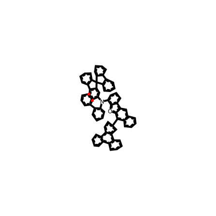 c1ccc(-c2ccccc2N(c2ccc3c(c2)C2(c4ccccc4-c4ccccc42)c2ccccc2-3)c2cccc3c2oc2c(-c4ccc5c6ccccc6c6ccccc6c5c4)c4ccccc4cc23)cc1